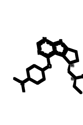 CC[C@@H](C[C@H]1CCc2sc3ncnc(OC4CCC(N(C)C)CC4)c3c21)OC